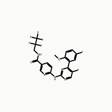 COc1ccc(F)cc1-c1nc(Nc2ccc(C(=O)NCC(F)(F)C(F)(F)F)cn2)ncc1F